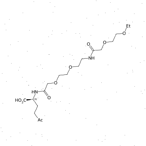 CCOCCOCC(=O)NCCOCCOCC(=O)N[C@@H](CCC(C)=O)C(=O)O